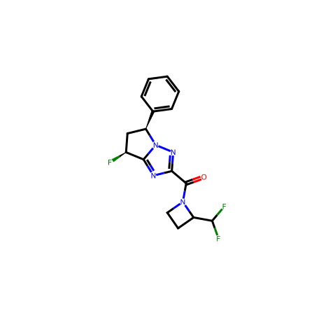 O=C(c1nc2n(n1)[C@H](c1ccccc1)C[C@@H]2F)N1CCC1C(F)F